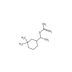 C=C(C)OC(C)C1CCCC(C)(C)C1